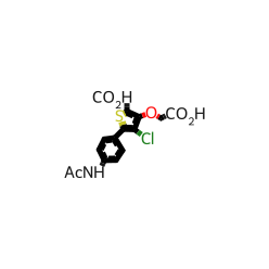 CC(=O)Nc1ccc(-c2sc(C(=O)O)c(OCC(=O)O)c2Cl)cc1